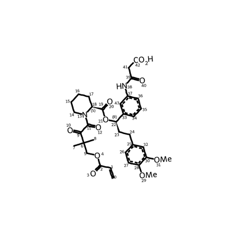 C=CC(=O)OCC(C)(C)C(=O)C(=O)N1CCCC[C@H]1C(=O)O[C@H](CCc1ccc(OC)c(OC)c1)c1cccc(NC(=O)CC(=O)O)c1